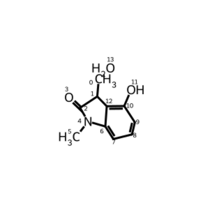 CC1C(=O)N(C)c2cccc(O)c21.O